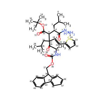 CC(C)C[C@@H](C(=O)NN)C(C(=O)OC(C)(C)C)C(C=Cc1cccs1)(CC(C)C)C(=O)[C@@H](C)NC(=O)OCC1c2ccccc2-c2ccccc21